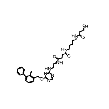 Cc1c(COc2ncnc(NCCNC(=O)CCC(=O)NCCCCCNC(=O)CCS)n2)cccc1-c1ccccc1